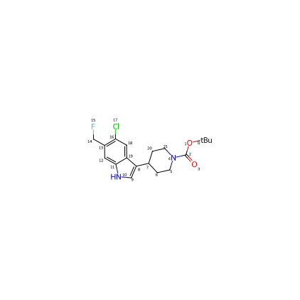 CC(C)(C)OC(=O)N1CCC(c2c[nH]c3cc(CF)c(Cl)cc23)CC1